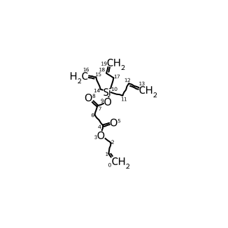 C=CCOC(=O)CC(=O)O[Si](CC=C)(CC=C)CC=C